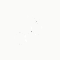 O=C(OC(F)(C(F)(F)F)C(F)(F)F)c1ccccc1